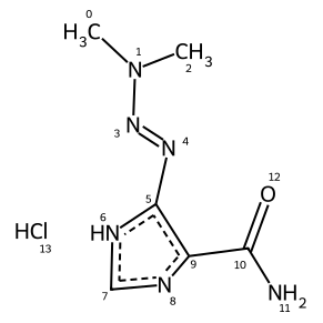 CN(C)/N=N/c1[nH]cnc1C(N)=O.Cl